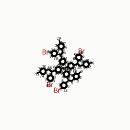 Cc1ccc(C=C(c2ccc(Br)cc2)c2cc[c]([Sn]([c]3ccc(C(=Cc4ccc(C)cc4)c4ccc(Br)cc4)cc3)([c]3ccc(C(=Cc4ccc(C)cc4)c4ccc(Br)cc4)cc3)[c]3ccc(C(=Cc4ccc(C)cc4)c4ccc(Br)cc4)cc3)cc2)cc1